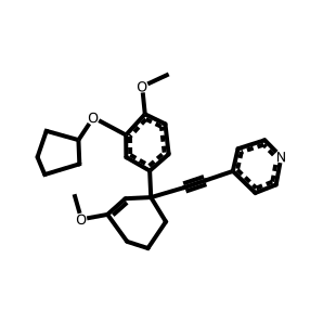 COC1=CC(C#Cc2ccncc2)(c2ccc(OC)c(OC3CCCC3)c2)CCC1